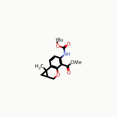 COC(=O)c1c(NC(=O)OC(C)(C)C)ccc2c1OCC1CC21C